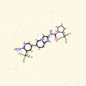 Nc1ncc(-c2ccc3nc(NC(=O)N4CCCC4C(F)(F)F)cn3c2)cc1C(F)(F)F